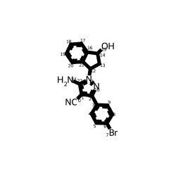 N#Cc1c(-c2ccc(Br)cc2)nn(C2CC(O)c3ccccc32)c1N